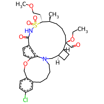 CCO[C@]1(C=O)CCC[C@H](C)[C@@H](CCOC)S(=O)(=O)NC(=O)c2ccc3c(c2)N(CCCCc2cc(Cl)ccc2CO3)C[C@@H]2CC[C@H]21